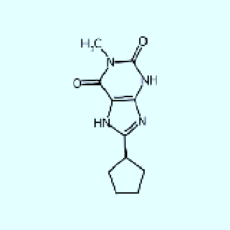 Cn1c(=O)[nH]c2nc(C3CCCC3)[nH]c2c1=O